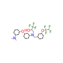 CN(C)c1cccc(Oc2cccc(N(Cc3cccc(OC(F)(F)C(F)F)c3)C[C@@H](O)C(F)(F)F)c2)c1